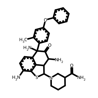 Cc1cc(Oc2ccccc2)ccc1C1(N)C(=O)C(N)C2c3c1ccc(N)c3SC2N1CCCC(C(N)=O)C1